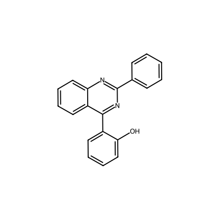 Oc1ccccc1-c1nc(-c2ccccc2)nc2ccccc12